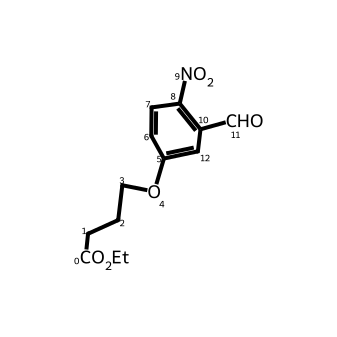 CCOC(=O)CCCOc1ccc([N+](=O)[O-])c(C=O)c1